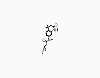 CCOCCC(=O)Nc1ccc2c(c1)NC(=O)CC2(C)C